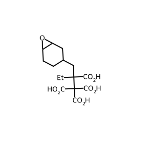 CCC(CC1CCC2OC2C1)(C(=O)O)C(C(=O)O)(C(=O)O)C(=O)O